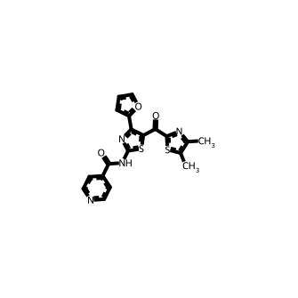 Cc1nc(C(=O)c2sc(NC(=O)c3ccncc3)nc2-c2ccco2)sc1C